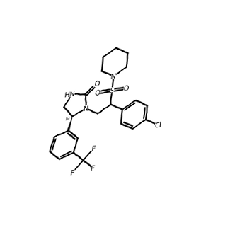 O=C1NC[C@H](c2cccc(C(F)(F)F)c2)N1CC(c1ccc(Cl)cc1)S(=O)(=O)N1CCCCC1